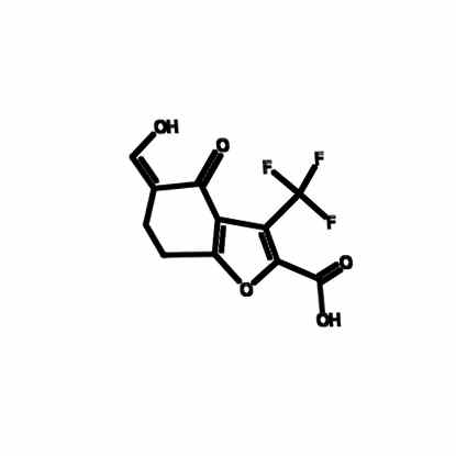 O=C(O)c1oc2c(c1C(F)(F)F)C(=O)/C(=C\O)CC2